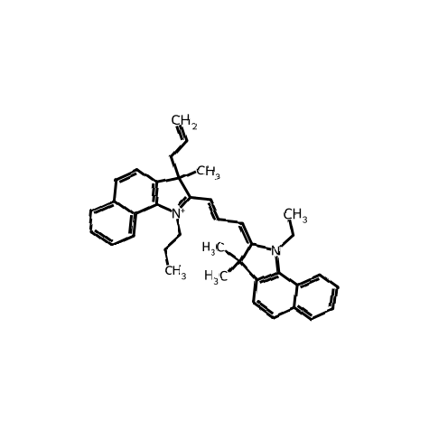 C=CCC1(C)C(/C=C/C=C2/N(CC)c3c(ccc4ccccc34)C2(C)C)=[N+](CCC)c2c1ccc1ccccc21